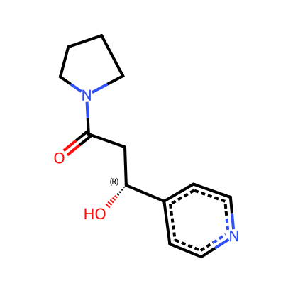 O=C(C[C@@H](O)c1ccncc1)N1CCCC1